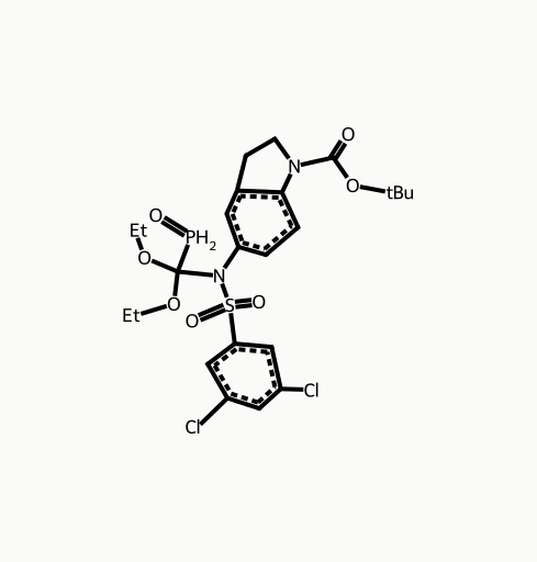 CCOC(OCC)([PH2]=O)N(c1ccc2c(c1)CCN2C(=O)OC(C)(C)C)S(=O)(=O)c1cc(Cl)cc(Cl)c1